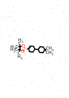 CC1(C)CCC(C2CC=C(B3OC(C)(C)C(C)(C)O3)CC2)CC1